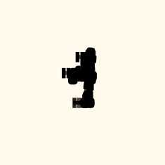 COc1cc(C[C@@H](OC(=O)N2CCC(N3CCc4ccccc4NC3=O)CC2)C(=O)N2CCN(c3ccc(C(=O)O)cc3)CC2)cc(Cl)c1O